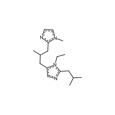 CCn1c(CC(C)Cc2nccn2C)cnc1CC(C)C